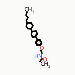 C=CC(=O)NCCOc1ccc(C2=CCC(C3CCC(CCCCC)CC3)CC2)cc1